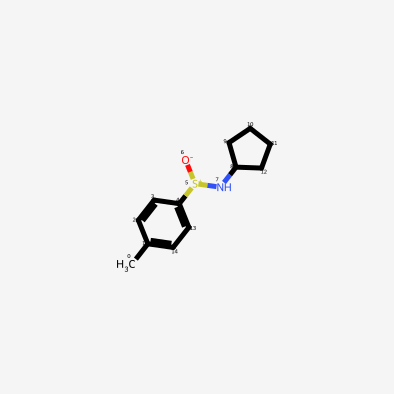 Cc1ccc([S+]([O-])NC2CCCC2)cc1